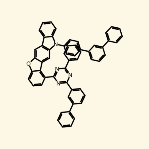 c1ccc(-c2cccc(-c3ccc(-n4c5ccccc5c5cc6oc7cccc(-c8nc(-c9ccccc9)nc(-c9cccc(-c%10ccccc%10)c9)n8)c7c6cc54)cc3)c2)cc1